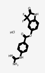 Cl.N=C(N)Nc1ccc(C(=O)Oc2ccc3c(c2)C(F)(F)C(=O)N3)cc1